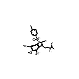 COc1c(Br)cc2c(c1Br)c(CCNC(C)=O)c(Br)n2S(=O)(=O)c1ccc(C)cc1